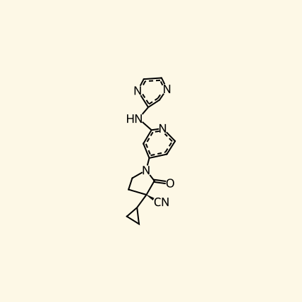 N#C[C@@]1(C2CC2)CCN(c2ccnc(Nc3cnccn3)c2)C1=O